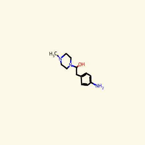 CN1CCN(C(O)Cc2ccc(N)cc2)CC1